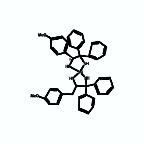 COc1ccc(CC2N[PH]3(N[C@@H](c4ccc(OC)cc4)C(c4ccccc4)(c4ccccc4)N3)NC2(c2ccccc2)c2ccccc2)cc1